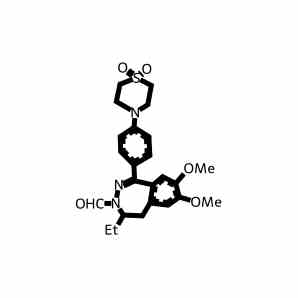 CCC1Cc2cc(OC)c(OC)cc2C(c2ccc(N3CCS(=O)(=O)CC3)cc2)=NN1C=O